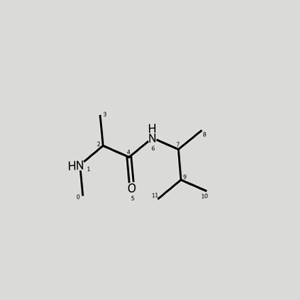 CNC(C)C(=O)NC(C)C(C)C